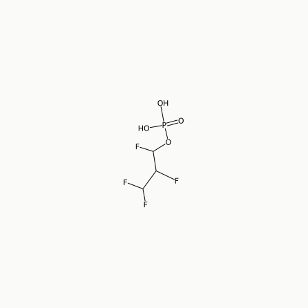 O=P(O)(O)OC(F)C(F)C(F)F